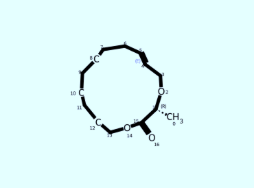 C[C@H]1OC/C=C/CCCCCCCCOC1=O